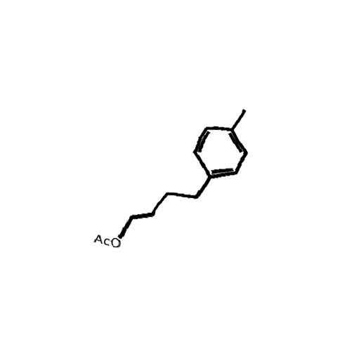 CC(=O)OCCCCc1ccc(C)cc1